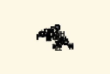 CCC(C)(C)c1cc(NC(=O)NCc2ccccc2Sc2ccc3nnc(-c4cc(F)ccc4O)n3c2)n(-c2cccc(CN(C)C)c2)n1